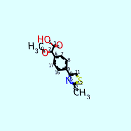 COC(C(=O)O)c1ccc(-c2csc(C)n2)cc1